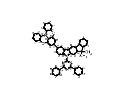 CC1(C)c2ccccc2-c2cc3c4cc(-c5cc6c7c(c5)Oc5ccccc5N7c5ccccc5O6)ccc4n(-c4nc(-c5ccccc5)nc(-c5ccccc5)n4)c3cc21